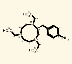 Nc1ccc(C[C@H]2CN(CC(=O)O)CCN(CC(=O)O)CCN2CC(=O)O)cc1